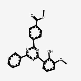 COC(=O)c1ccc(-c2nc(-c3ccccc3)nc(-c3cccc(OC)c3O)n2)cc1